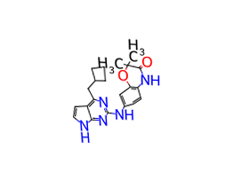 CC1(C)Oc2cc(Nc3nc(CC4CCC4)c4cc[nH]c4n3)ccc2NC1=O